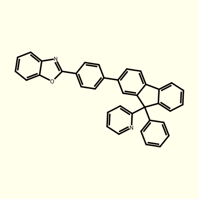 c1ccc(C2(c3ccccn3)c3ccccc3-c3ccc(-c4ccc(-c5nc6ccccc6o5)cc4)cc32)cc1